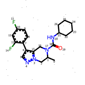 CC1Cn2ncc(-c3ccc(F)cc3F)c2CN1C(=O)NC1CCCCC1